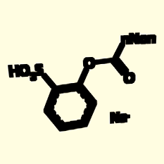 CCCCCCCCCC(=O)Oc1ccccc1S(=O)(=O)O.[Na]